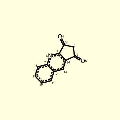 O=C1CC(=O)c2nc3ccccc3cc21